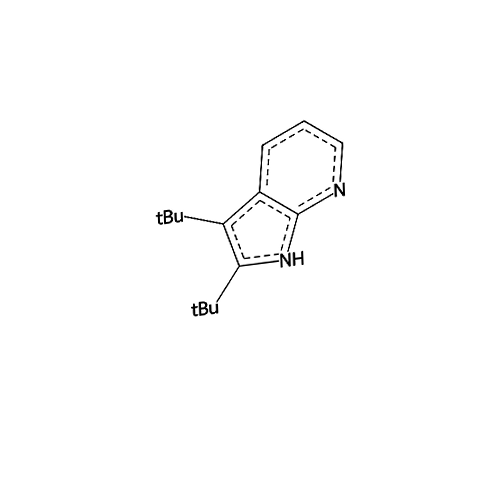 CC(C)(C)c1[nH]c2ncccc2c1C(C)(C)C